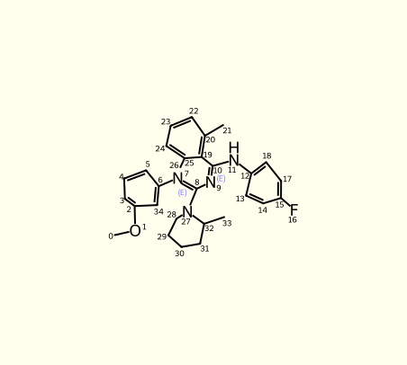 COc1cccc(/N=C(/N=C(/Nc2ccc(F)cc2)c2c(C)cccc2C)N2CCCCC2C)c1